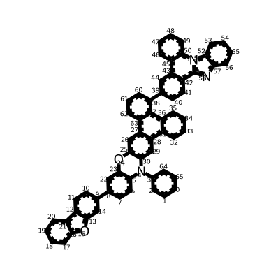 c1ccc(N2c3ccc(-c4ccc5c(c4)oc4ccccc45)cc3Oc3cc4c(cc32)c2ccccc2c2c(-c3ccc5c(c3)c3ccccc3n3c6ccccc6nc53)cccc42)cc1